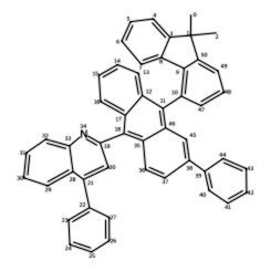 CC1(C)c2ccccc2-c2c(-c3c4ccccc4c(-c4cc(-c5ccccc5)c5ccccc5n4)c4ccc(-c5ccccc5)cc34)cccc21